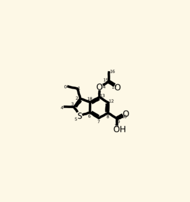 CCc1c(C)sc2cc(C(=O)O)cc(OC(C)=O)c12